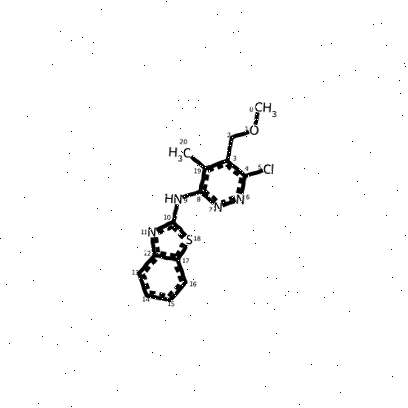 COCc1c(Cl)nnc(Nc2nc3ccccc3s2)c1C